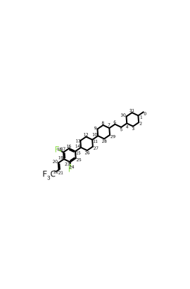 CC1CCC(CCC2CCC(C3CCC(c4cc(F)c(/C=C/C(F)(F)F)c(F)c4)CC3)CC2)CC1